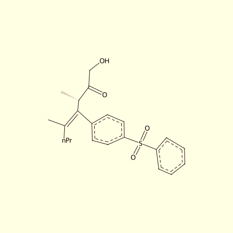 CCC/C(C)=C(\c1ccc(S(=O)(=O)c2ccccc2)cc1)[C@H](C)C(=O)CO